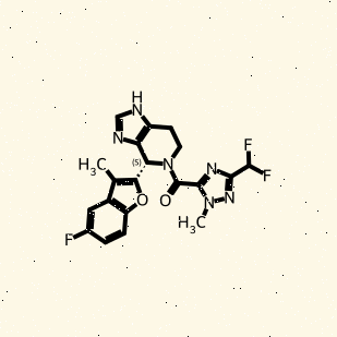 Cc1c([C@@H]2c3nc[nH]c3CCN2C(=O)c2nc(C(F)F)nn2C)oc2ccc(F)cc12